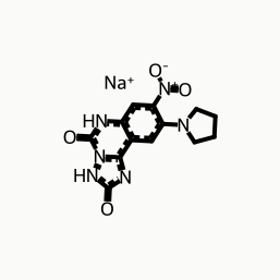 O=c1nc2c3cc(N4CCCC4)c([N+](=O)[O-])cc3[nH]c(=O)n2[nH]1.[Na+]